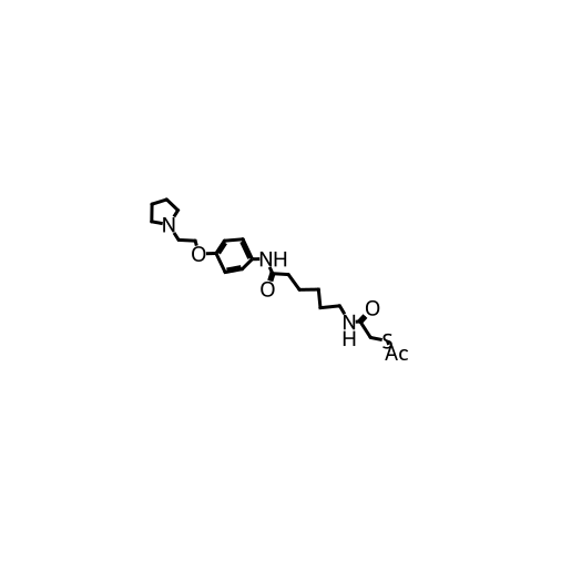 CC(=O)SCC(=O)NCCCCCC(=O)Nc1ccc(OCCN2CCCC2)cc1